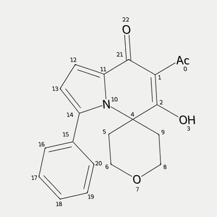 CC(=O)C1=C(O)C2(CCOCC2)n2c(ccc2-c2ccccc2)C1=O